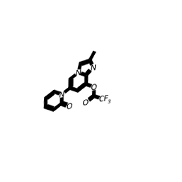 Cc1cn2cc(-n3ccccc3=O)cc(OC(=O)C(F)(F)F)c2n1